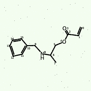 C=CC(=O)OCC(C)NCc1ccccc1